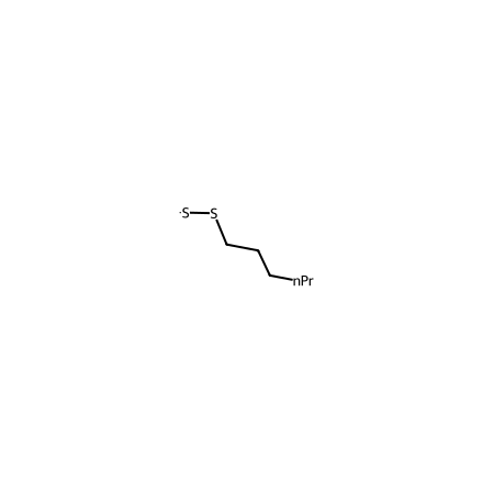 CCCCCCS[S]